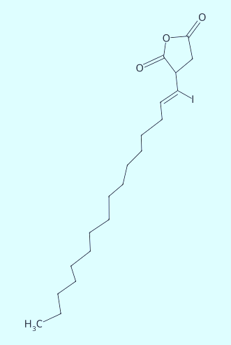 CCCCCCCCCCCCCCC=C(I)C1CC(=O)OC1=O